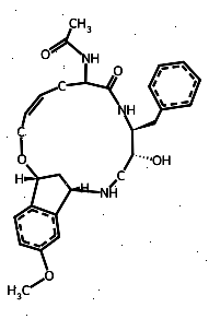 COc1ccc2c(c1)[C@@H]1C[C@H]2OC/C=C\CC(NC(C)=O)C(=O)N[C@@H](Cc2ccccc2)[C@H](O)CN1